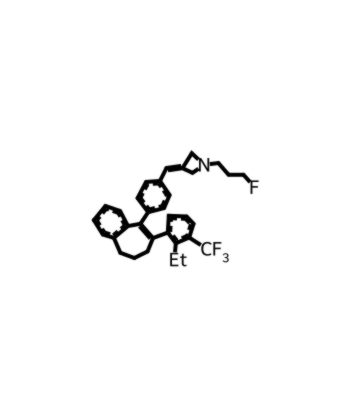 CCc1c(C2=C(c3ccc(C=C4CN(CCCF)C4)cc3)c3ccccc3CCC2)cccc1C(F)(F)F